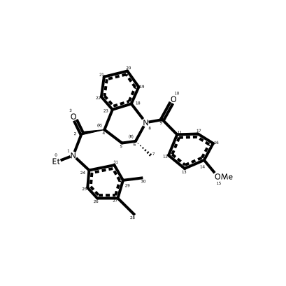 CCN(C(=O)[C@@H]1C[C@@H](C)N(C(=O)c2ccc(OC)cc2)c2ccccc21)c1ccc(C)c(C)c1